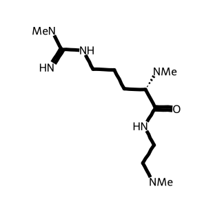 CNCCNC(=O)[C@H](CCCNC(=N)NC)NC